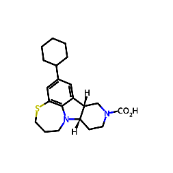 O=C(O)N1CC[C@H]2[C@@H](C1)c1cc(C3CCCCC3)cc3c1N2CCCS3